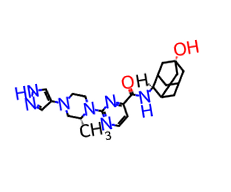 C[C@@H]1CN(c2cn[nH]c2)CCN1c1nccc(C(=O)N[C@H]2C3CC4CC2C[C@](O)(C4)C3)n1